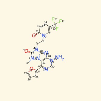 Cn1c(=O)n(CCn2cc(C(F)(F)F)ccc2=O)c2nc3c(n21)C(c1ccco1)=NCN3N